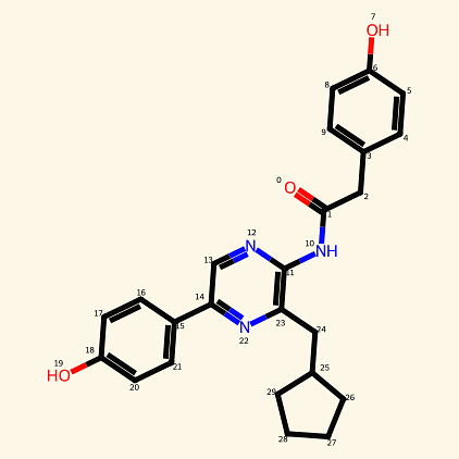 O=C(Cc1ccc(O)cc1)Nc1ncc(-c2ccc(O)cc2)nc1CC1CCCC1